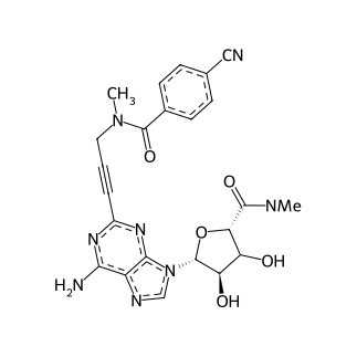 CNC(=O)[C@H]1O[C@@H](n2cnc3c(N)nc(C#CCN(C)C(=O)c4ccc(C#N)cc4)nc32)[C@H](O)C1O